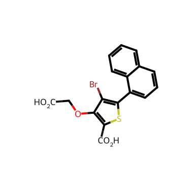 O=C(O)COc1c(C(=O)O)sc(-c2cccc3ccccc23)c1Br